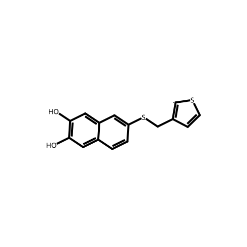 Oc1cc2ccc(SCc3[c]scc3)cc2cc1O